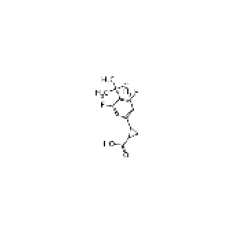 CC(C)(C)c1c(F)cc(C2CC2C(=O)O)cc1F